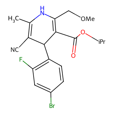 COCC1=C(C(=O)OC(C)C)C(c2ccc(Br)cc2F)C(C#N)=C(C)N1